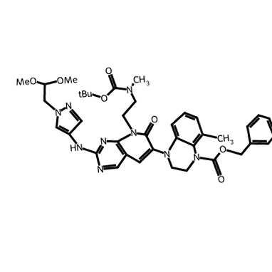 COC(Cn1cc(Nc2ncc3cc(N4CCN(C(=O)OCc5ccccc5)c5c(C)cccc54)c(=O)n(CCN(C)C(=O)OC(C)(C)C)c3n2)cn1)OC